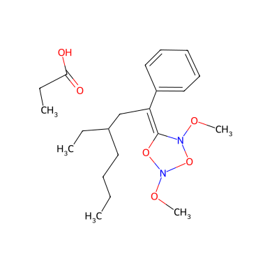 CCC(=O)O.CCCCC(CC)CC(=C1ON(OC)ON1OC)c1ccccc1